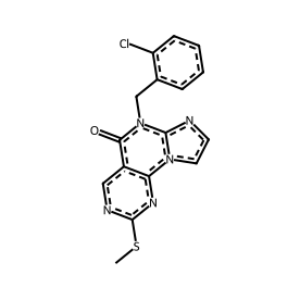 CSc1ncc2c(=O)n(Cc3ccccc3Cl)c3nccn3c2n1